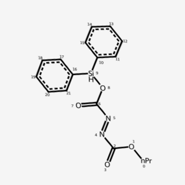 CCCOC(=O)N=NC(=O)O[SiH](c1ccccc1)c1ccccc1